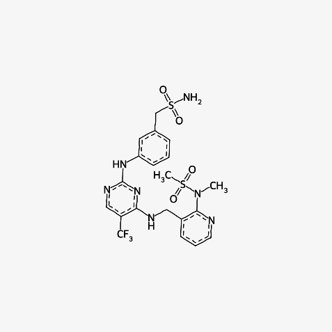 CN(c1ncccc1CNc1nc(Nc2cccc(CS(N)(=O)=O)c2)ncc1C(F)(F)F)S(C)(=O)=O